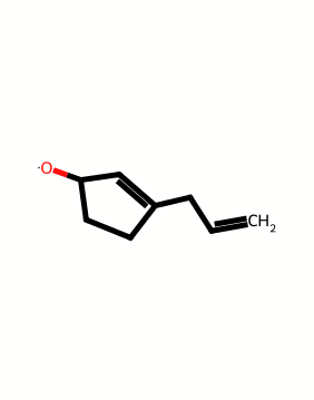 C=CCC1=CC([O])CC1